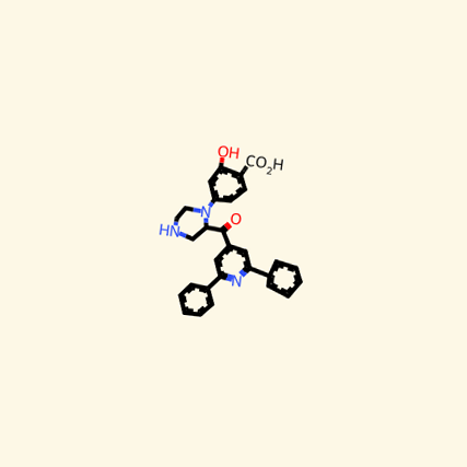 O=C(O)c1ccc(N2CCNCC2C(=O)c2cc(-c3ccccc3)nc(-c3ccccc3)c2)cc1O